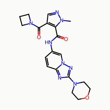 Cn1ncc(C(=O)N2CCC2)c1C(=O)Nc1ccc2nc(N3CCOCC3)nn2c1